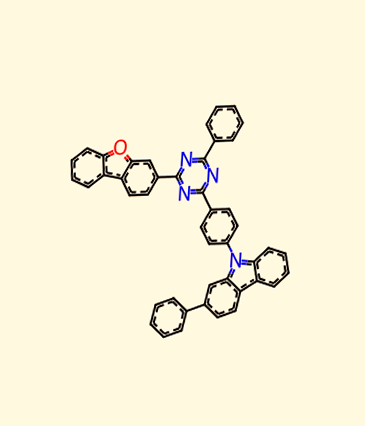 c1ccc(-c2ccc3c4ccccc4n(-c4ccc(-c5nc(-c6ccccc6)nc(-c6ccc7c(c6)oc6ccccc67)n5)cc4)c3c2)cc1